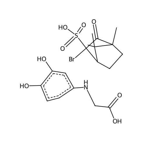 CC12CCC(C1(C)C)C(Br)(S(=O)(=O)O)C2=O.O=C(O)CNc1ccc(O)c(O)c1